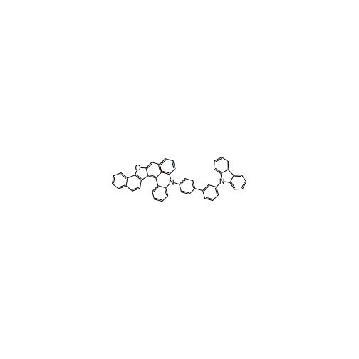 c1ccc(N(c2ccc(-c3cccc(-n4c5ccccc5c5ccccc54)c3)cc2)c2ccccc2-c2cccc3oc4c5ccccc5ccc4c23)cc1